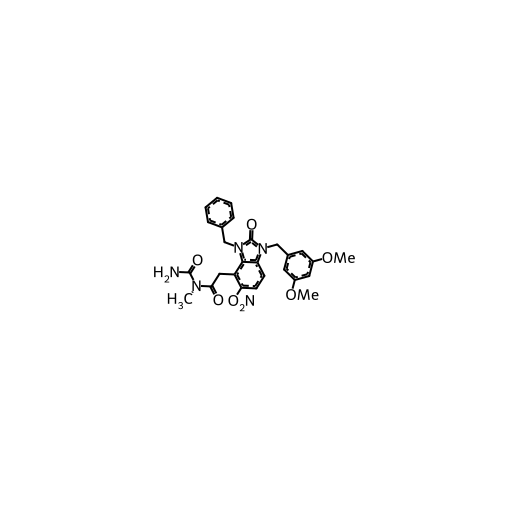 COc1cc(Cn2c(=O)n(Cc3ccccc3)c3c(CC(=O)N(C)C(N)=O)c([N+](=O)[O-])ccc32)cc(OC)c1